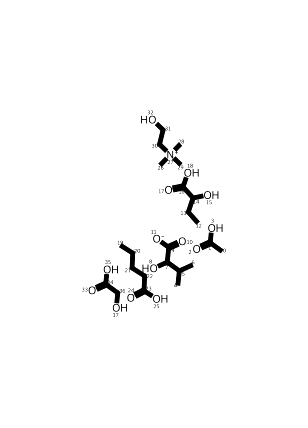 CC(=O)O.CC(C)C(O)C(=O)[O-].CCC(O)C(=O)O.CCCCC(=O)O.C[N+](C)(C)CCO.O=C(O)CO